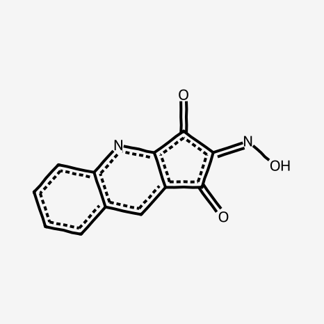 O=c1c(=NO)c(=O)c2nc3ccccc3cc12